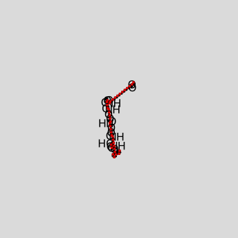 CC(C)(C)OC(=O)CCCCCCCCCCCCCCCCC(=O)NC(CCC(=O)NCCOCCOCC(=O)NCCOCCOCC(=O)NCCCCC(NC(=O)OCC1c2ccccc2-c2ccccc21)C(=O)O)C(=O)OC(C)(C)C